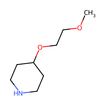 COCCOC1CCNCC1